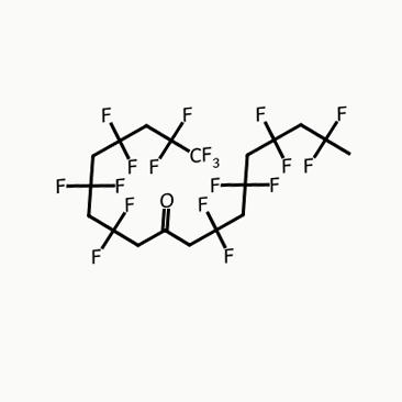 CC(F)(F)CC(F)(F)CC(F)(F)CC(F)(F)CC(=O)CC(F)(F)CC(F)(F)CC(F)(F)CC(F)(F)C(F)(F)F